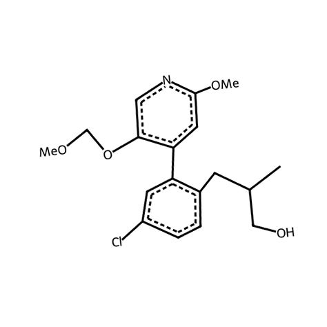 COCOc1cnc(OC)cc1-c1cc(Cl)ccc1CC(C)CO